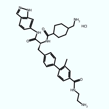 Cc1cc(C(=O)NCCN)ccc1-c1ccc(C[C@H](NC(=O)C2CCC(CN)CC2)C(=O)Nc2ccc3cn[nH]c3c2)cc1.Cl